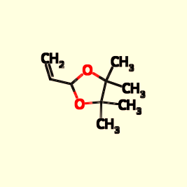 C=CC1OC(C)(C)C(C)(C)O1